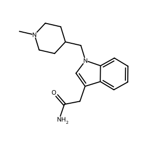 CN1CCC(Cn2cc(CC(N)=O)c3ccccc32)CC1